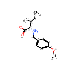 CC[C@H](C)[C@H](NCc1ccc(OC)cc1)C(=O)O